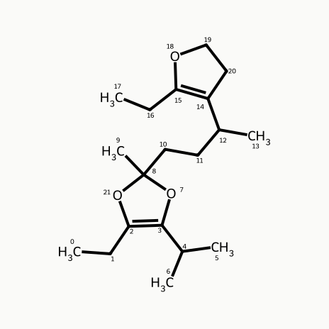 CCC1=C(C(C)C)OC(C)(CCC(C)C2=C(CC)OCC2)O1